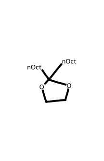 CCCCCCCCC1(CCCCCCCC)OCCO1